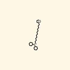 C(CCCCCCC1CCCO1)CCCCCC[S+](C1CCCCC1)C1CCCCC1